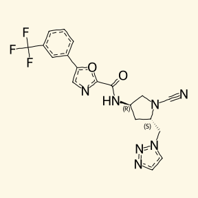 N#CN1C[C@H](NC(=O)c2ncc(-c3cccc(C(F)(F)F)c3)o2)C[C@H]1Cn1ccnn1